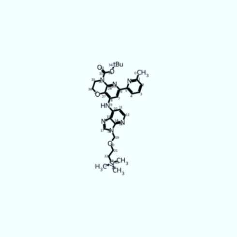 Cc1cccc(-c2cc(Nc3ccnc4c3ncn4COCC[Si](C)(C)C)c3c(n2)N(C(=O)OC(C)(C)C)CCO3)n1